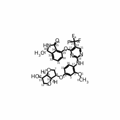 COc1cc(O[C@@H]2CO[C@H]3[C@@H]2OC[C@H]3O)ccc1Nc1ncc(C(F)(F)F)c(Oc2cccc3c2C(=O)N[C@H]3C)n1